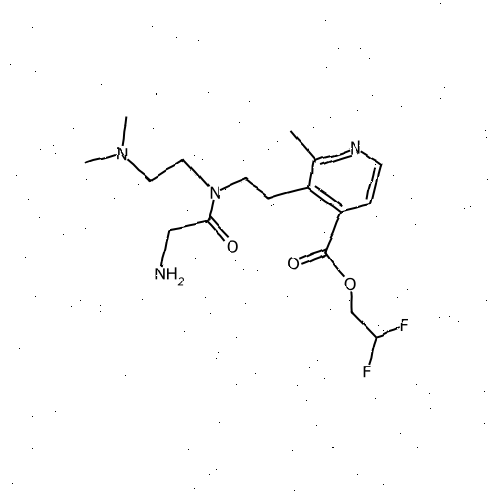 Cc1nccc(C(=O)OCC(F)F)c1CCN(CCN(C)C)C(=O)CN